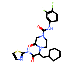 O=C(Nc1nccs1)C(CC1CCCCC1)N1CCN(C(=O)Nc2ccc(F)c(F)c2)CC1=O